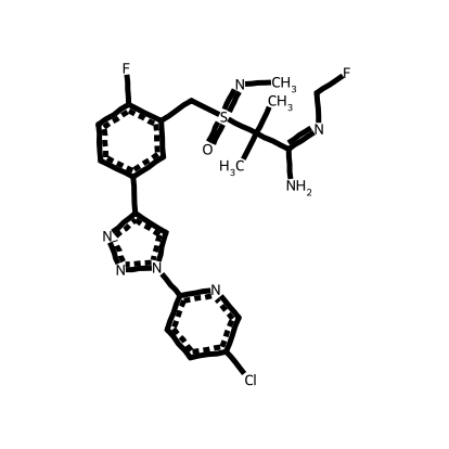 CN=S(=O)(Cc1cc(-c2cn(-c3ccc(Cl)cn3)nn2)ccc1F)C(C)(C)/C(N)=N\CF